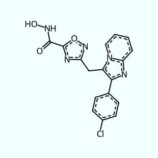 O=C(NO)c1nc(Cc2c(-c3ccc(Cl)cc3)nc3ccccn23)no1